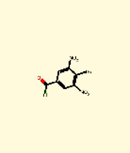 CC(C)(C)c1c([N+](=O)[O-])cc(C(=O)Cl)cc1[N+](=O)[O-]